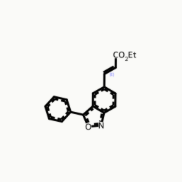 CCOC(=O)/C=C/c1ccc2noc(-c3ccccc3)c2c1